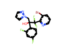 OC(Cn1cccn1)(c1ccc(F)cc1F)C(F)(F)c1ncccc1Br